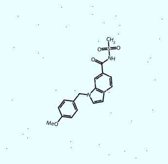 COc1ccc(Cn2ccc3ccc(C(=O)NS(C)(=O)=O)cc32)cc1